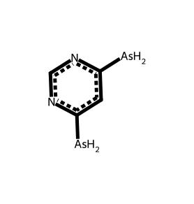 [AsH2]c1cc([AsH2])ncn1